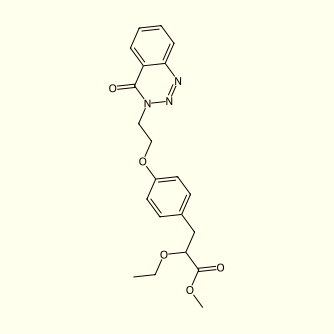 CCOC(Cc1ccc(OCCn2nnc3ccccc3c2=O)cc1)C(=O)OC